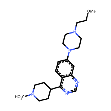 COCCN1CCN(c2ccc3c(C4CCN(C(=O)O)CC4)ncnc3c2)CC1